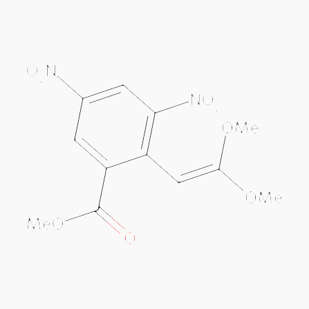 COC(=O)c1cc([N+](=O)[O-])cc([N+](=O)[O-])c1C=C(OC)OC